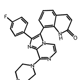 O=c1ccc2cccc(-c3c(-c4ccc(F)cc4)nc4c(N5CCOCC5)nccn34)c2[nH]1